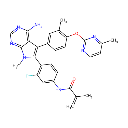 C=C(C)C(=O)Nc1ccc(-c2c(-c3ccc(Oc4nccc(C)n4)c(C)c3)c3c(N)ncnc3n2C)c(F)c1